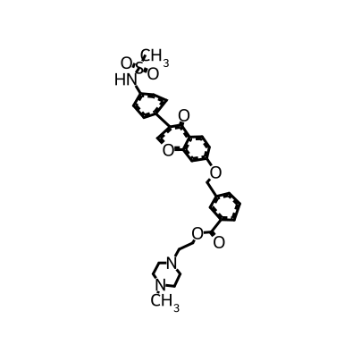 CN1CCN(CCOC(=O)c2cccc(COc3ccc4c(=O)c(-c5ccc(NS(C)(=O)=O)cc5)coc4c3)c2)CC1